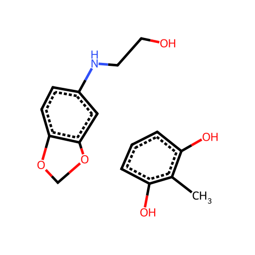 Cc1c(O)cccc1O.OCCNc1ccc2c(c1)OCO2